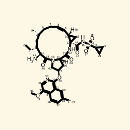 CC[C@@H]1C[C@H](C)CC/C=C\[C@@H]2C[C@@]2(C(=O)NS(=O)(=O)C2CC2)NC(=O)[C@@H]2C[C@@H](Oc3ncc(OC)c4ccc(F)cc34)CN2C(=O)[C@H]1N